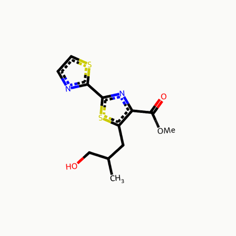 COC(=O)c1nc(-c2nccs2)sc1CC(C)CO